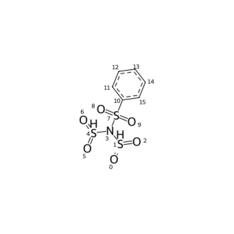 O=[SH](=O)N([SH](=O)=O)S(=O)(=O)c1ccccc1